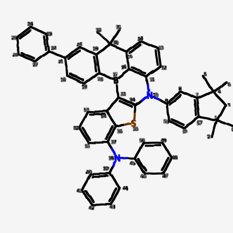 CC1(C)CC(C)(C)c2cc(N3c4cccc5c4B(c4ccc(-c6ccccc6)cc4C5(C)C)c4c3sc3c(N(c5ccccc5)c5ccccc5)cccc43)ccc21